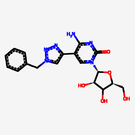 Nc1nc(=O)n([C@@H]2O[C@H](CO)C(O)[C@@H]2O)cc1-c1cn(Cc2ccccc2)nn1